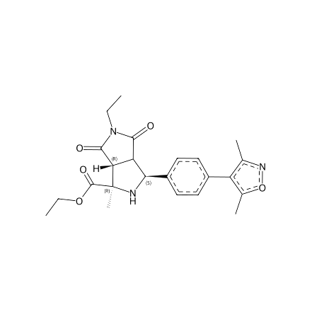 CCOC(=O)[C@]1(C)N[C@H](c2ccc(-c3c(C)noc3C)cc2)C2C(=O)N(CC)C(=O)[C@H]21